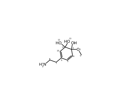 COC1(O)C=CC(CCN)=CC1(O)O